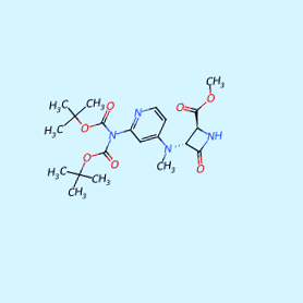 COC(=O)[C@H]1NC(=O)[C@@H]1N(C)c1ccnc(N(C(=O)OC(C)(C)C)C(=O)OC(C)(C)C)c1